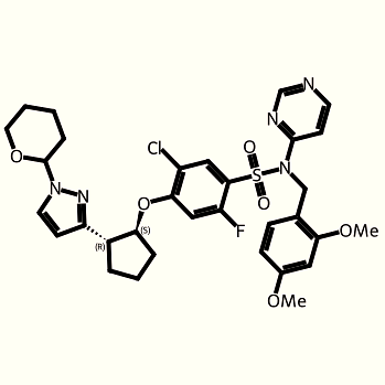 COc1ccc(CN(c2ccncn2)S(=O)(=O)c2cc(Cl)c(O[C@H]3CCC[C@@H]3c3ccn(C4CCCCO4)n3)cc2F)c(OC)c1